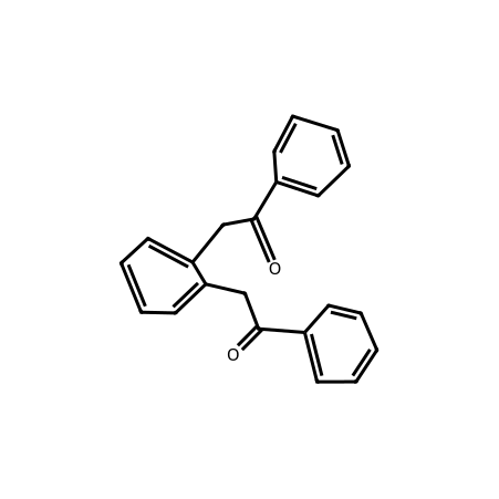 O=C(Cc1ccccc1CC(=O)c1ccccc1)c1ccccc1